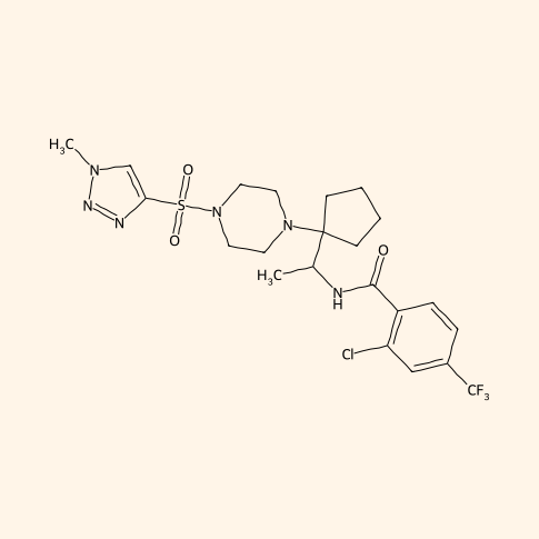 CC(NC(=O)c1ccc(C(F)(F)F)cc1Cl)C1(N2CCN(S(=O)(=O)c3cn(C)nn3)CC2)CCCC1